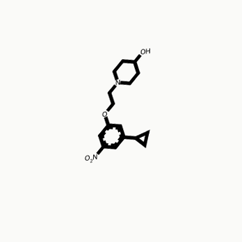 O=[N+]([O-])c1cc(OCCN2CCC(O)CC2)cc(C2CC2)c1